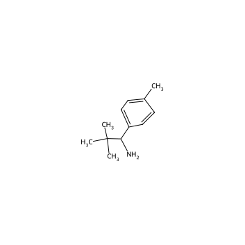 Cc1ccc(C(N)C(C)(C)C)cc1